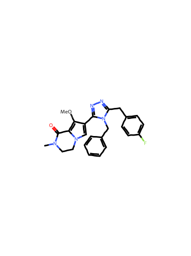 COc1c(-c2nnc(Cc3ccc(F)cc3)n2Cc2ccccc2)cn2c1C(=O)N(C)CC2